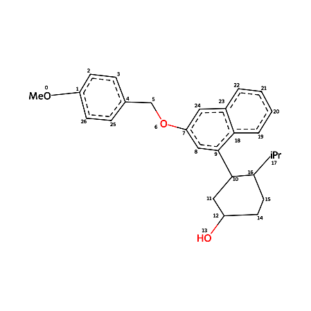 COc1ccc(COc2cc(C3CC(O)CCC3C(C)C)c3ccccc3c2)cc1